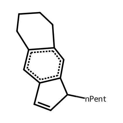 CCCCC[C]1C=Cc2cc3c(cc21)CCCC3